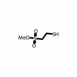 COS(=O)(=O)CCS